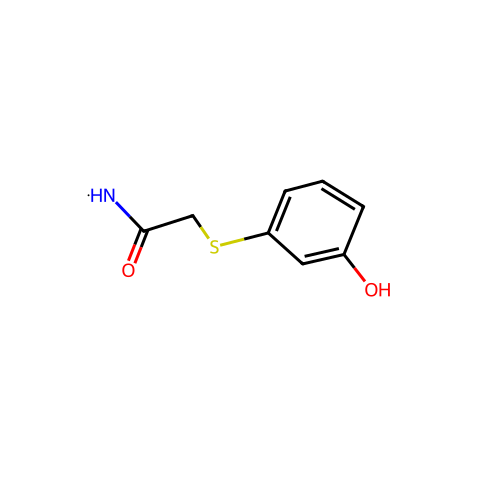 [NH]C(=O)CSc1cccc(O)c1